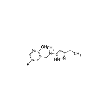 CCc1cc(N(C)Cc2cc(F)cnc2O)[nH]n1